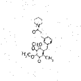 COC1=C(OC)C(=O)C(Cc2cccc(CCC(=O)N3CCCCC3)c2)=C(C)C1=O